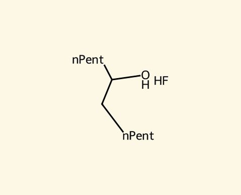 CCCCCCC(O)CCCCC.F